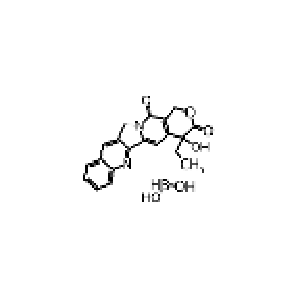 CCC1(O)C(=O)OCc2c1cc1n(c2=O)Cc2cc3ccccc3nc2-1.OBO